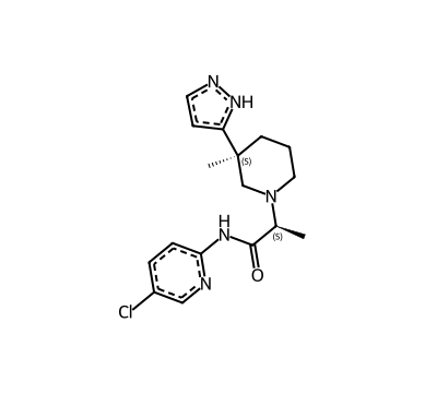 C[C@@H](C(=O)Nc1ccc(Cl)cn1)N1CCC[C@](C)(c2ccn[nH]2)C1